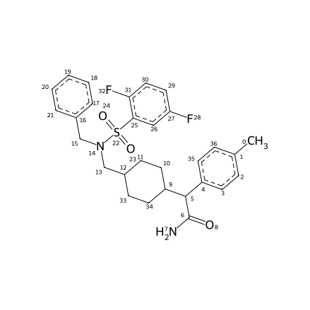 Cc1ccc(C(C(N)=O)C2CCC(CN(Cc3ccccc3)S(=O)(=O)c3cc(F)ccc3F)CC2)cc1